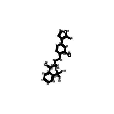 Cc1occc1-c1ccc(CCNC(=O)c2ccccc2C(F)(F)F)c(Cl)c1